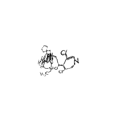 CC[Si](CC)(CC)OC(CNCC1(C)CCCC1)c1c(Cl)cncc1Cl